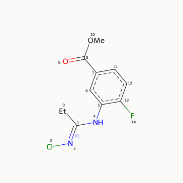 CC/C(=N\Cl)Nc1cc(C(=O)OC)ccc1F